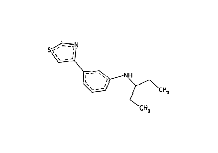 CCC(CC)Nc1cccc(-c2cs[c]n2)c1